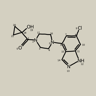 O=C(N1CCN(c2cc(Cl)cc3[nH]ncc23)CC1)C1(O)CC1